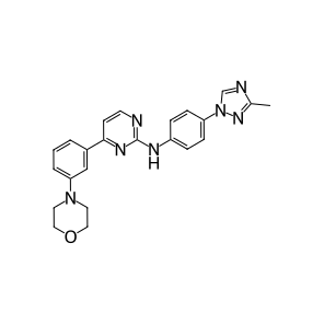 Cc1ncn(-c2ccc(Nc3nccc(-c4cccc(N5CCOCC5)c4)n3)cc2)n1